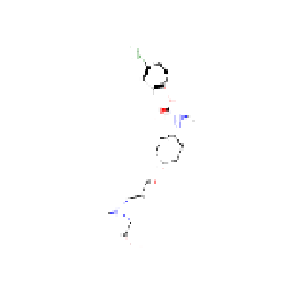 CN(CCO)CCCO[C@H]1CC[C@H](N(C)C(=O)Oc2ccc(Cl)cc2)CC1